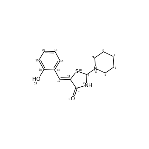 O=C1NC(N2CCCCC2)S/C1=C\c1ccccc1O